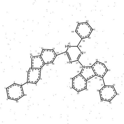 c1ccc(-c2ccc3c(c2)oc2ccc(C4=NC(n5c6ccccc6c6c(-c7ccccc7)cccc65)=NC(c5ccccc5)N4)cc23)cc1